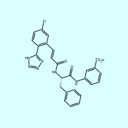 O=C(/C=C/c1cc(Cl)ccc1-c1nnn[nH]1)N[C@@H](Cc1ccccc1)C(=O)Nc1cccc(C(=O)O)c1